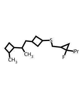 CC1CCC1C(C)CC1CC(SCC2CC2(F)C(C)C)C1